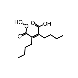 CCCC/C(C(=O)O)=C(\CCCC)C(=O)OO